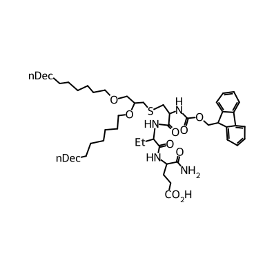 CCCCCCCCCCCCCCCCOCC(CSCC(NC(=O)OCC1c2ccccc2-c2ccccc21)C(=O)NC(CC)C(=O)NC(CCC(=O)O)C(N)=O)OCCCCCCCCCCCCCCCC